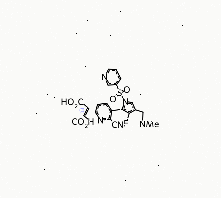 CNCc1cn(S(=O)(=O)c2cccnc2)c(-c2cccnc2C#N)c1F.O=C(O)/C=C/C(=O)O